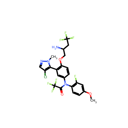 COc1ccc(N(C(=O)C(F)(F)F)c2ccc(OCC(N)CC(F)(F)F)c(-c3c(Cl)cnn3C)c2)c(F)c1